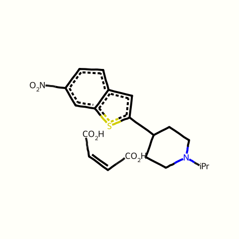 CC(C)N1CCC(c2cc3ccc([N+](=O)[O-])cc3s2)CC1.O=C(O)/C=C\C(=O)O